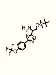 CC(C)(C)[Si](C)(C)OCC(N)c1nc(-c2ccc(OC(F)(F)F)cc2)no1